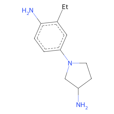 CCc1cc(N2CCC(N)C2)ccc1N